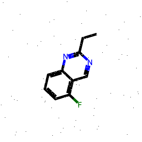 CCc1ncc2c(F)cccc2n1